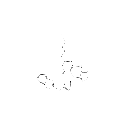 CCCCCC1CC(=O)C2=C(C1)Nc1n[nH]cc1[C@H]2c1ccc(Sc2nc3ccccc3[nH]2)o1